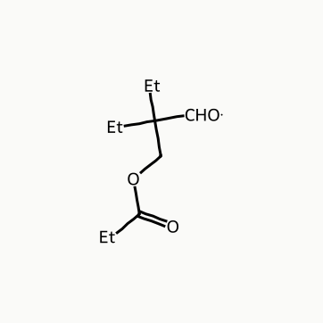 CCC(=O)OCC([C]=O)(CC)CC